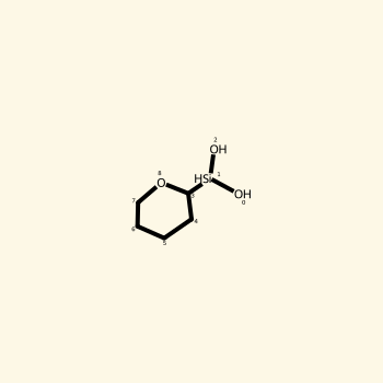 O[SiH](O)C1CCCCO1